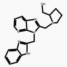 OCC1CCCN1Cc1nc2cccnc2n1Cc1nc2ccccc2[nH]1